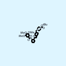 COc1cc(C(=O)Nc2ccccc2-c2cc3ccc(CN4CCN(C(=O)OC(C)(C)C)CC4)cc3o2)cc(OC)c1OC